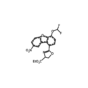 CCOC(=O)C1COC(c2ccc(OC(F)F)c3oc4ccc([N+](=O)[O-])cc4c23)=N1